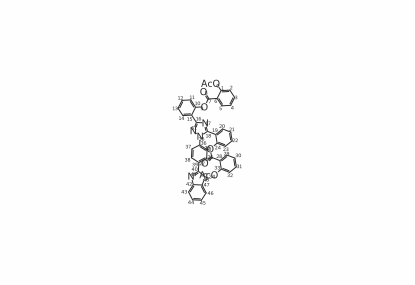 CC(=O)Oc1ccccc1C(=O)Oc1ccccc1-c1nc(-c2ccccc2OC(=O)c2ccccc2OC(C)=O)n(-c2ccc(-c3nc4ccccc4s3)cc2)n1